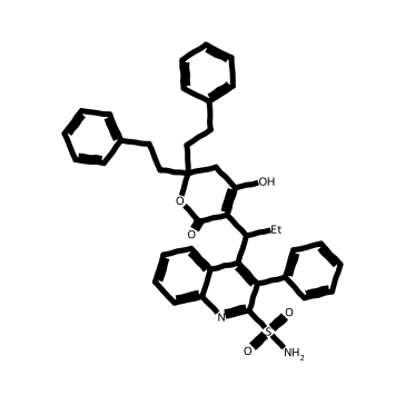 CCC(C1=C(O)CC(CCc2ccccc2)(CCc2ccccc2)OC1=O)c1c(-c2ccccc2)c(S(N)(=O)=O)nc2ccccc12